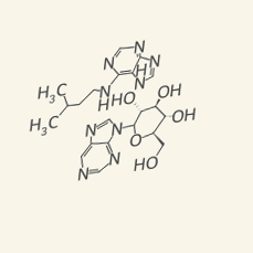 CC(C)CCNc1ncnc2nc[nH]c12.OC[C@H]1OC(n2cnc3cncnc32)[C@H](O)[C@@H](O)[C@@H]1O